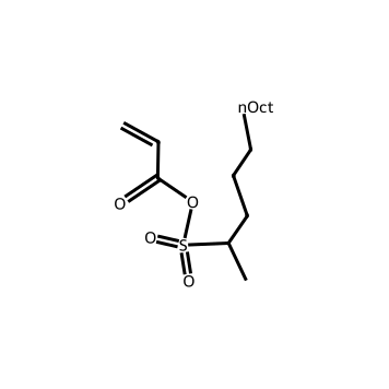 C=CC(=O)OS(=O)(=O)C(C)CCCCCCCCCCC